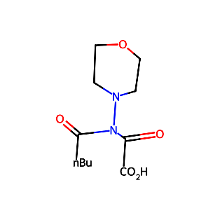 CCCCC(=O)N(C(=O)C(=O)O)N1CCOCC1